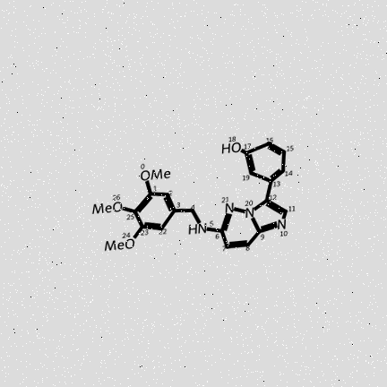 COc1cc(CNc2ccc3ncc(-c4cccc(O)c4)n3n2)cc(OC)c1OC